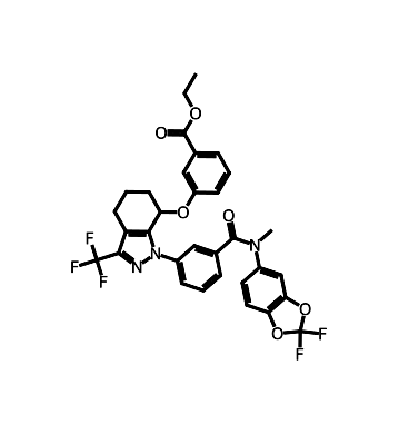 CCOC(=O)c1cccc(OC2CCCc3c(C(F)(F)F)nn(-c4cccc(C(=O)N(C)c5ccc6c(c5)OC(F)(F)O6)c4)c32)c1